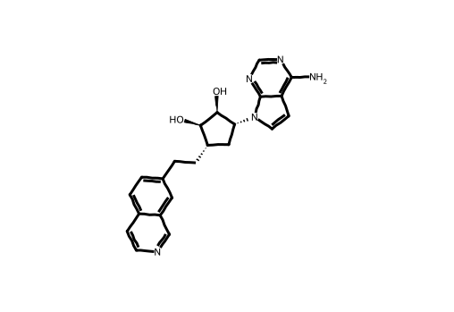 Nc1ncnc2c1ccn2[C@@H]1C[C@H](CCc2ccc3ccncc3c2)[C@@H](O)[C@H]1O